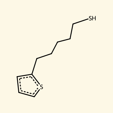 SCCCCCc1cccs1